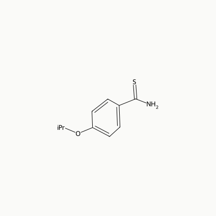 CC(C)Oc1ccc(C(N)=S)cc1